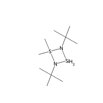 CC(C)(C)N1[SiH2]N(C(C)(C)C)S1(C)C